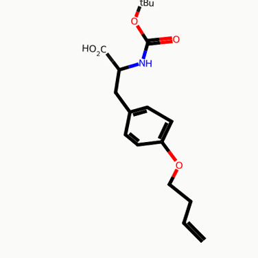 C=CCCOc1ccc(CC(NC(=O)OC(C)(C)C)C(=O)O)cc1